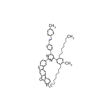 CCCCCCCCc1cc(-c2cc(-c3ccc(/C=C/c4ccc(C)cc4)cc3)nc(-c3ccc4sc5cc6oc7ccccc7c6cc5c4c3)n2)c(CCCCCCCC)cc1C